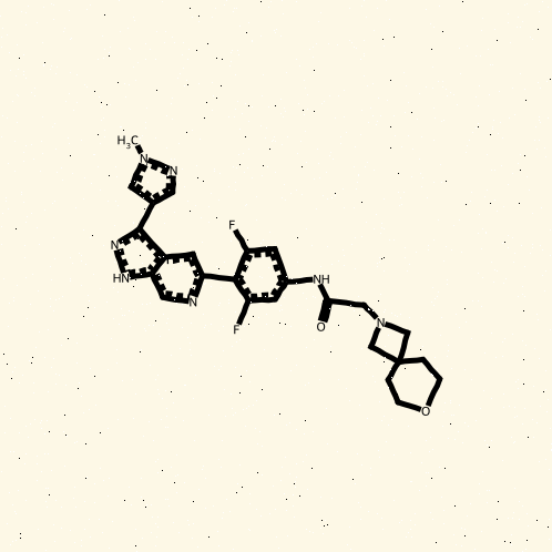 Cn1cc(-c2n[nH]c3cnc(-c4c(F)cc(NC(=O)CN5CC6(CCOCC6)C5)cc4F)cc23)cn1